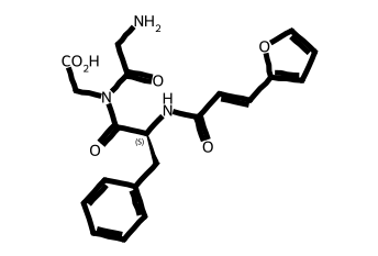 NCC(=O)N(CC(=O)O)C(=O)[C@H](Cc1ccccc1)NC(=O)C=Cc1ccco1